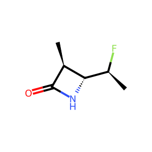 C[C@H](F)[C@@H]1NC(=O)[C@H]1C